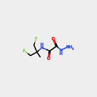 CC(CF)(CF)NC(=O)C(=O)NN